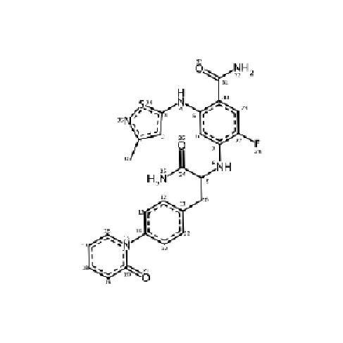 Cc1cc(Nc2cc(NC(Cc3ccc(-n4ccccc4=O)cc3)C(N)=O)c(F)cc2C(N)=O)sn1